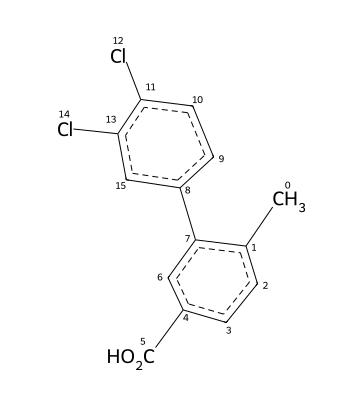 Cc1ccc(C(=O)O)cc1-c1ccc(Cl)c(Cl)c1